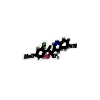 COc1ccc(C(C)C(O)(c2cnc3ccc(C#N)cc3c2)C(F)(F)F)c(Cl)c1